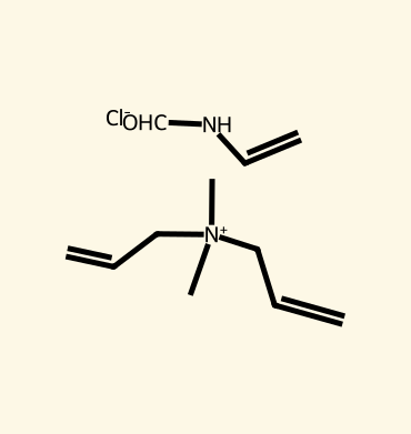 C=CC[N+](C)(C)CC=C.C=CNC=O.[Cl-]